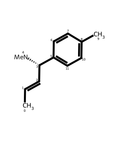 C/C=C/[C@H](NC)c1ccc(C)cc1